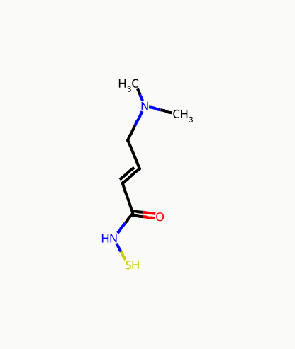 CN(C)C/C=C/C(=O)NS